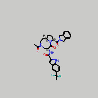 CC(=O)N1CC[C@H]2CC[C@@H](C(=O)N3Cc4ccccc4C3)N2C(=O)[C@@H](NC(=O)c2cc3cc(C(C)(F)F)ccc3[nH]2)C1